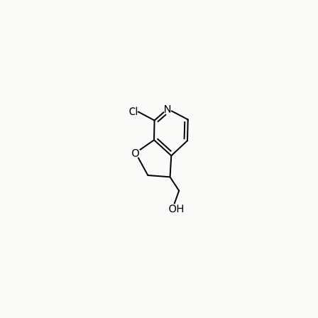 OCC1COc2c1ccnc2Cl